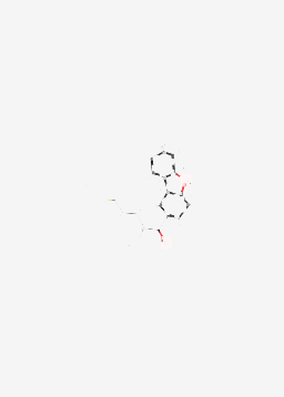 CCSCCCC(C)C(=O)c1ccc2oc3ccccc3c2c1